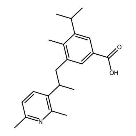 Cc1ccc(C(C)Cc2cc(C(=O)O)cc(C(C)C)c2C)c(C)n1